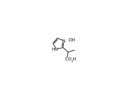 CC(C(=O)O)c1ncc[nH]1.Cl